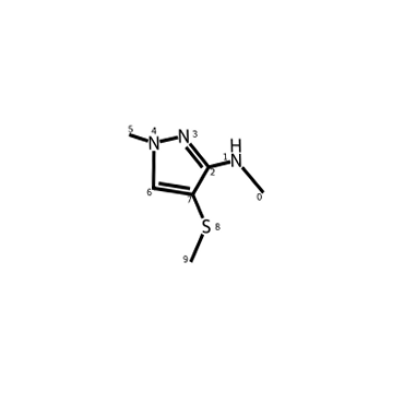 CNc1nn(C)cc1SC